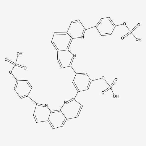 O=S(=O)(O)Oc1ccc(-c2ccc3ccc4ccc(-c5cc(OS(=O)(=O)O)cc(-c6ccc7ccc8ccc(-c9ccc(OS(=O)(=O)O)cc9)nc8c7n6)c5)nc4c3n2)cc1